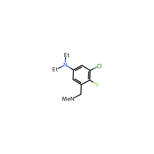 CCN(CC)c1cc(Cl)c(F)c(CNC)c1